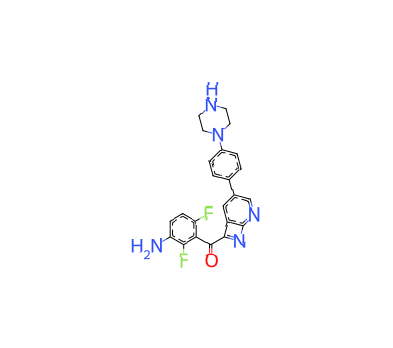 Nc1ccc(F)c(C(=O)C2=Nc3ncc(-c4ccc(N5CCNCC5)cc4)cc32)c1F